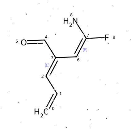 C=C/C=C(C=O)\C=C(/N)F